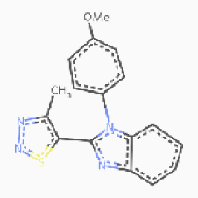 COc1ccc(-n2c(-c3snnc3C)nc3ccccc32)cc1